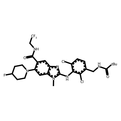 Cn1c(Nc2c(Cl)ccc(CNC(=O)C(C)(C)C)c2Cl)nc2cc(C(=O)NCC(F)(F)F)c(N3CCC(F)CC3)cc21